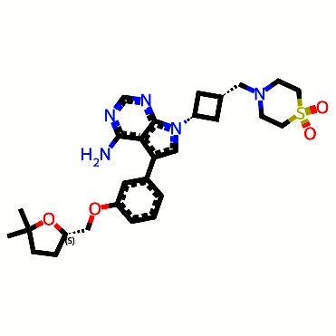 CC1(C)CC[C@@H](COc2cccc(-c3cn([C@H]4C[C@@H](CN5CCS(=O)(=O)CC5)C4)c4ncnc(N)c34)c2)O1